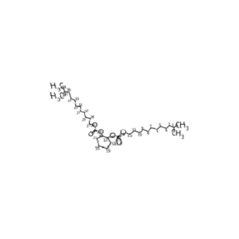 CC(C)CCCCCCCCCCOC(=O)OC1CCCCC1OC(=O)OCCCCCCCCCCC(C)C